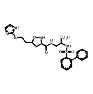 O=C(O)C(CNC(=O)C1CC(CCNc2ncc[nH]2)ON1)NS(=O)(=O)c1ccccc1-c1ccccc1